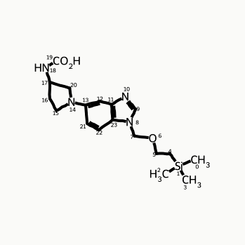 C[Si](C)(C)CCOCn1cnc2cc(N3CCC(NC(=O)O)C3)ccc21